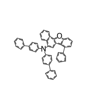 c1ccc(-c2ccc(N(c3ccc(-c4ccccc4)cc3)c3cc4c(oc5cccc(-c6ccccc6)c54)c4ccccc34)cc2)cc1